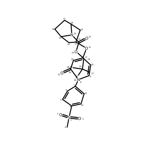 CS(=O)(=O)c1ccc(-n2ccc(OC3CC4CCC(C3)N4C(=O)OCC(F)(F)F)cc2=O)cc1